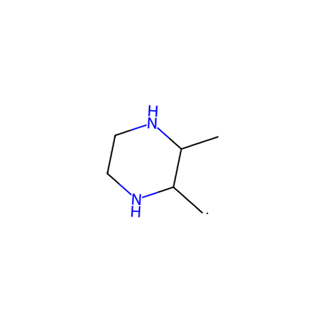 [CH2]C1NCCNC1C